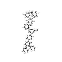 Clc1nc(-c2ccc(-c3ccc4c5ccccc5c5ccccc5c4c3)cc2)nc(-c2cccc3c2oc2ccc(-c4cccc5sc6ccccc6c45)cc23)n1